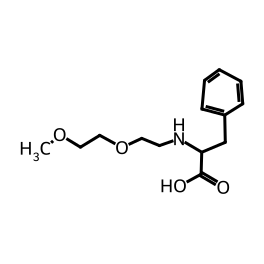 COCCOCCNC(Cc1ccccc1)C(=O)O